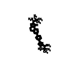 CC(C)(C)C(N)c1nc(-c2ccc(-c3ccc4c(c3)CCc3nc([C@@H](N)C(C)(C)C)[nH]c3-4)cc2)c[nH]1